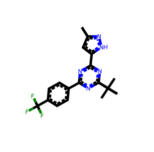 Cc1cc(-c2nc(-c3ccc(C(F)(F)F)cc3)nc(C(C)(C)C)n2)[nH]n1